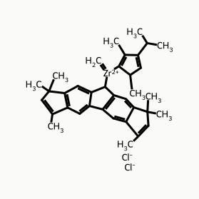 [CH2]=[Zr+2]([C]1=C(C)C(C(C)C)=CC1C)[CH]1c2cc3c(cc2-c2cc4c(cc21)C(C)(C)C=C4C)C(C)=CC3(C)C.[Cl-].[Cl-]